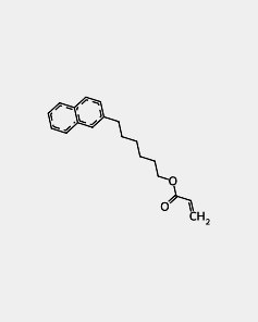 C=CC(=O)OCCCCCCc1ccc2ccccc2c1